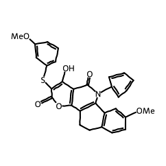 COc1cccc(Sc2c(O)c3c(=O)n(-c4ccccc4)c4c(c3oc2=O)CCc2ccc(OC)cc2-4)c1